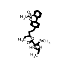 CCc1nc(SC)c(C(=O)OC(CC)CCc2ccc(-c3ccccc3S(N)(=O)=O)cc2)[nH]1